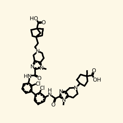 Cn1c(C(=O)Nc2cccc(-c3cccc(NC(=O)c4nc5c(n4C)CCN(C4CCC(C)(C(=O)O)CC4)C5)c3Cl)c2Cl)nc2c1CCN(CCC13CCC(C(=O)O)(CC1)C3)C2